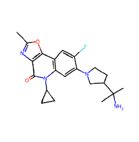 Cc1nc2c(=O)n(C3CC3)c3cc(N4CCC(C(C)(C)N)C4)c(F)cc3c2o1